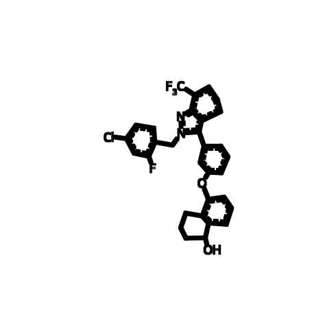 OC1CCCc2c(Oc3cccc(-c4c5cccc(C(F)(F)F)c5nn4Cc4ccc(Cl)cc4F)c3)cccc21